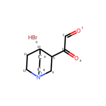 Br.O=CC(=O)C1CN2CCC1CC2